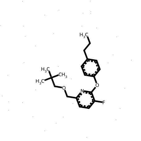 CCCc1ccc(Oc2nc(COCC(C)(C)C)ccc2F)cc1